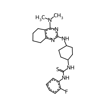 CN(C)c1nc(NC2CCC(NC(=S)Nc3ccccc3F)CC2)nc2c1CCCC2